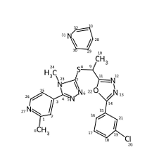 Cc1cc(-c2nnc(SC(C)c3nnc(-c4cccc(Cl)c4)o3)n2C)ccn1.c1ccncc1